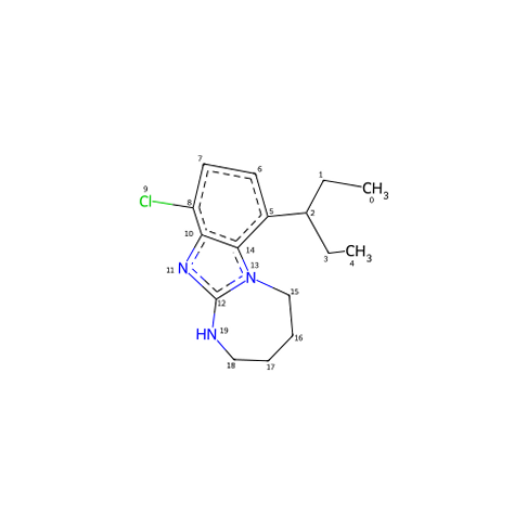 CCC(CC)c1ccc(Cl)c2nc3n(c12)CCCCN3